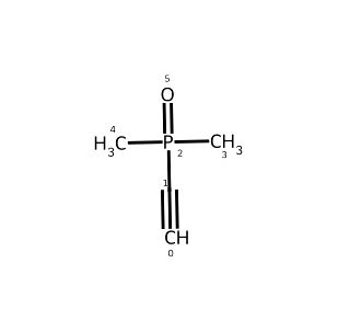 C#CP(C)(C)=O